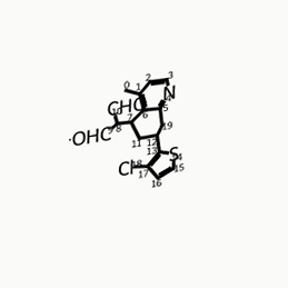 Cc1ccnc2c1C(C([C]=O)C=O)CC(c1sccc1Cl)C2